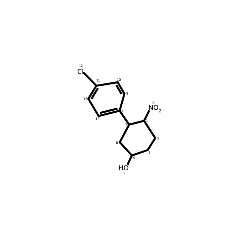 O=[N+]([O-])C1CCC(O)CC1c1ccc(Cl)cc1